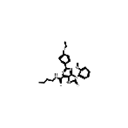 CCCCNC(=O)c1nc(-c2ccc(OCC)cc2)nc2c1[nH]c(=O)n2-c1ccccc1OC